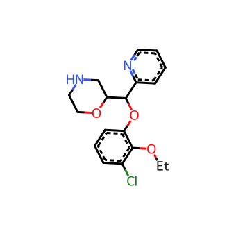 CCOc1c(Cl)cccc1OC(c1ccccn1)C1CNCCO1